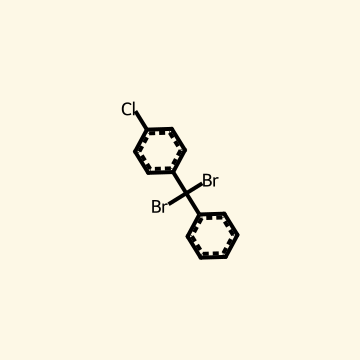 Clc1ccc(C(Br)(Br)c2ccccc2)cc1